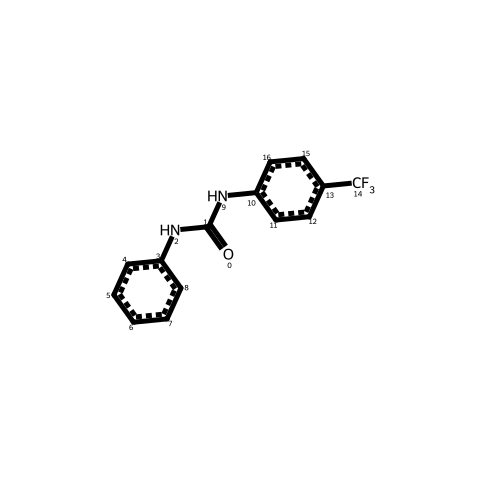 O=C(Nc1ccccc1)Nc1ccc(C(F)(F)F)cc1